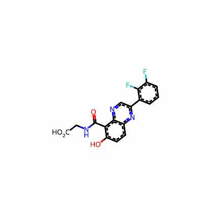 O=C(O)CNC(=O)c1c(O)ccc2nc(-c3cccc(F)c3F)cnc12